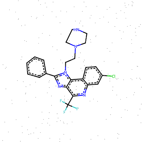 FC(F)(F)c1nc2cc(Cl)ccc2c2c1nc(-c1ccccc1)n2CCN1CCNCC1